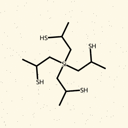 CC(S)C[Si](CC(C)S)(CC(C)S)CC(C)S